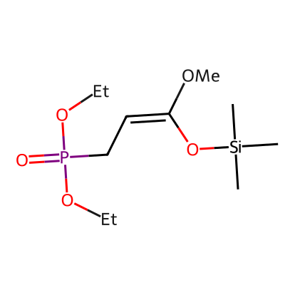 CCOP(=O)(CC=C(OC)O[Si](C)(C)C)OCC